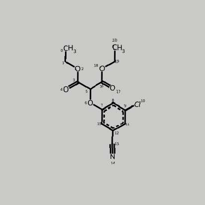 CCOC(=O)C(Oc1cc(Cl)cc(C#N)c1)C(=O)OCC